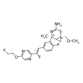 COC[C@]12CC1[C@@](C)(c1cc(/C=C(\F)c3cnc(OCCF)cn3)ccc1F)N=C(N)S2